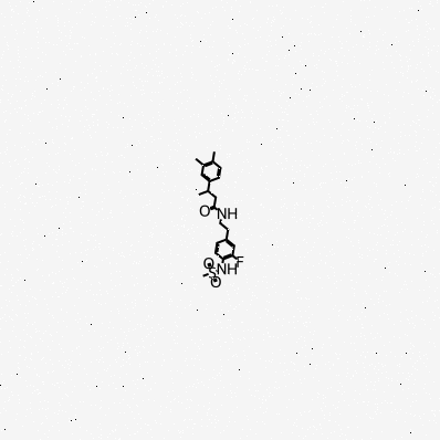 Cc1ccc(C(C)CC(=O)NCCc2ccc(NS(C)(=O)=O)c(F)c2)cc1C